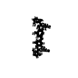 CCc1cc(Cc2cc(C)c(/N=C(\OC)c3n(C)cc[n+]3C)c(CC)c2)cc(C)c1/N=C(\OC)c1n(C)cc[n+]1C